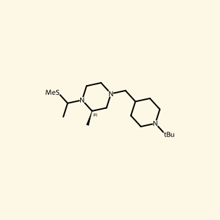 CSC(C)N1CCN(CC2CCN(C(C)(C)C)CC2)C[C@H]1C